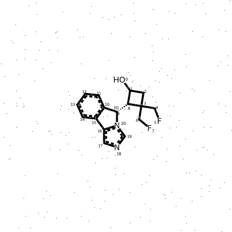 OC1CC(CF)(CF)C1[C@H]1c2ccccc2-c2cncn21